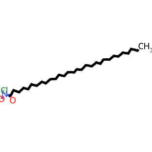 CCCCCCCCCCCCCCCCCCCCCCCCCCCCCC(=O)N(O)Cl